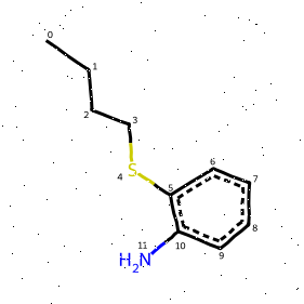 CCCCSc1ccccc1N